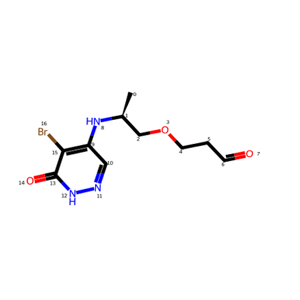 C[C@@H](COCCC=O)Nc1cn[nH]c(=O)c1Br